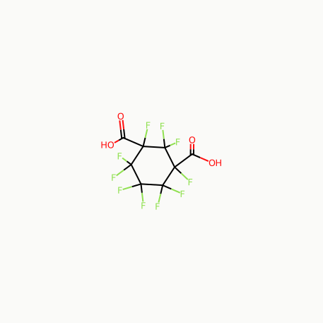 O=C(O)C1(F)C(F)(F)C(F)(F)C(F)(F)C(F)(C(=O)O)C1(F)F